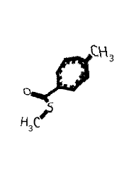 CSC(=O)c1ccc(C)cc1